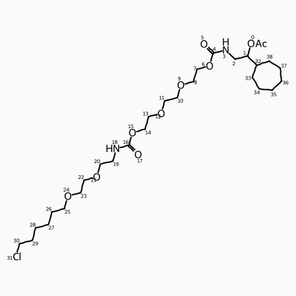 CC(=O)OC(CNC(=O)OCCOCCOCCOC(=O)NCCOCCOCCCCCCCl)C1CCCCCC1